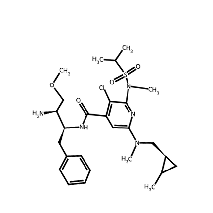 COC[C@H](N)[C@H](Cc1ccccc1)NC(=O)c1cc(N(C)C[C@H]2CC2C)nc(N(C)S(=O)(=O)C(C)C)c1Cl